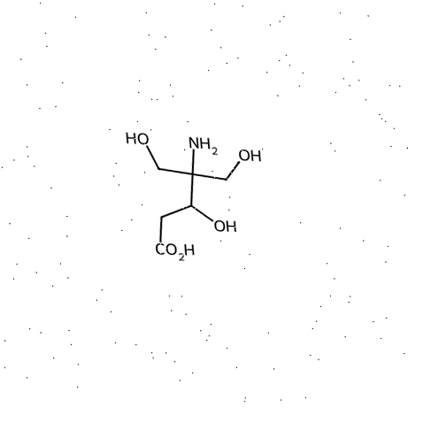 NC(CO)(CO)C(O)CC(=O)O